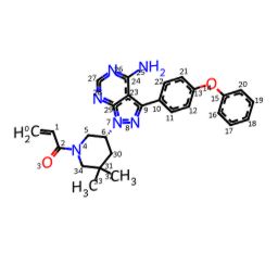 C=CC(=O)N1C[C@H](n2nc(-c3ccc(Oc4ccccc4)cc3)c3c(N)ncnc32)CC(C)(C)C1